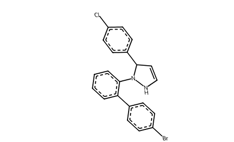 Clc1ccc(C2C=CNN2c2ccccc2-c2ccc(Br)cc2)cc1